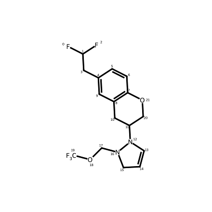 FC(F)Cc1ccc2c(c1)CC(N1C=CCN1COC(F)(F)F)CO2